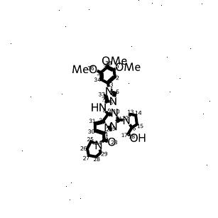 COc1cc(-n2cnc(Nc3nc(N4CCCC4CO)nn4c(C(=O)N5CCCCC5)ccc34)c2)cc(OC)c1OC